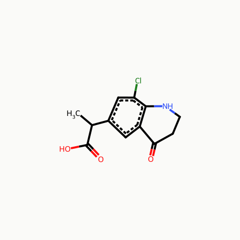 CC(C(=O)O)c1cc(Cl)c2c(c1)C(=O)CCN2